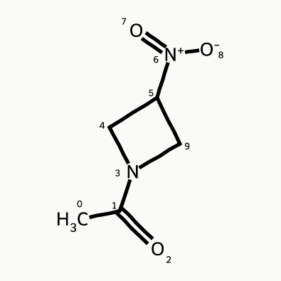 CC(=O)N1CC([N+](=O)[O-])C1